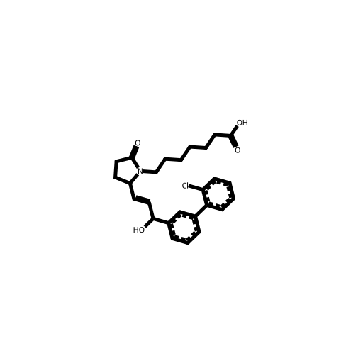 O=C(O)CCCCCCN1C(=O)CCC1C=CC(O)c1cccc(-c2ccccc2Cl)c1